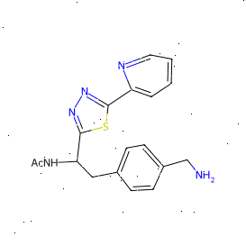 CC(=O)NC(Cc1ccc(CN)cc1)c1nnc(-c2ccccn2)s1